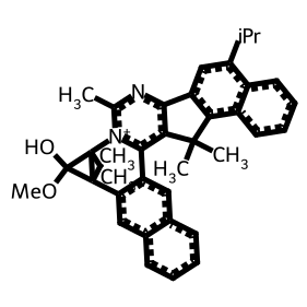 COC1(O)C2(C)c3cc4ccccc4cc3-c3c4c(nc(C)[n+]3C12C)-c1cc(C(C)C)c2ccccc2c1C4(C)C